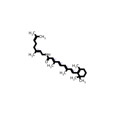 CC(C)=CCC/C(C)=C/CNC(=O)/C=C(C)/C=C/C=C(C)/C=C/C1=C(C)CCCC1(C)C